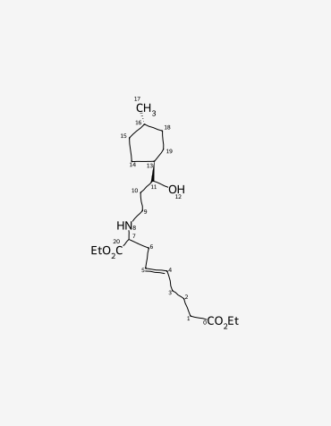 CCOC(=O)CCCC=CCC(NCCC(O)[C@H]1CC[C@H](C)CC1)C(=O)OCC